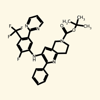 CC(C)(C)OC(=O)N1CCc2nc(-c3ccccc3)c(Nc3cc(-c4ncccn4)c(C(F)(F)F)cc3F)cc2C1